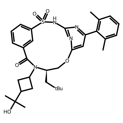 Cc1cccc(C)c1-c1cc2nc(n1)NS(=O)(=O)c1cccc(c1)C(=O)N(C1CC(C(C)(C)O)C1)[C@H](CC(C)(C)C)CO2